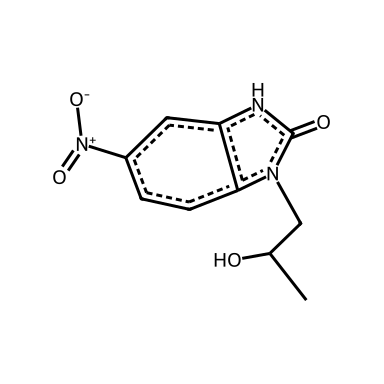 CC(O)Cn1c(=O)[nH]c2cc([N+](=O)[O-])ccc21